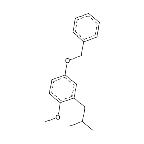 COc1ccc(OCc2ccccc2)cc1CC(C)C